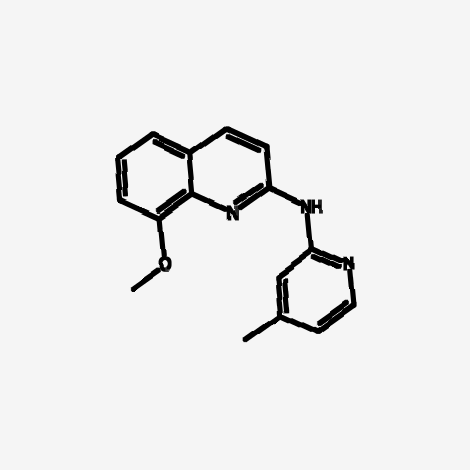 COc1cccc2ccc(Nc3cc(C)ccn3)nc12